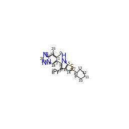 Cc1c(-c2[nH]c3sc(C4CCCCC4)cc3c2C(C)C)cn2ncnc2c1C